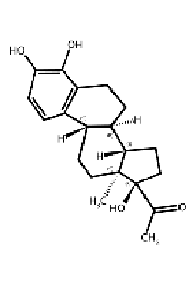 CC(=O)[C@@]1(O)CC[C@H]2[C@@H]3CCc4c(ccc(O)c4O)[C@H]3CC[C@@]21C